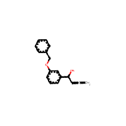 C=C=CC(O)c1cccc(OCc2ccccc2)c1